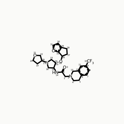 O=C(CN1CCc2ccc(C(F)(F)F)cc2C1)NC1CN(C2CCOC2)C[C@@H]1OC1CCc2ccoc21